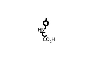 Cc1ccc(CNC(C)(C)CC(C)C(=O)O)cc1